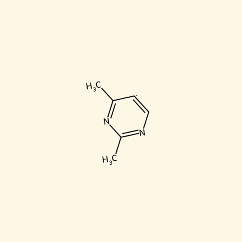 Cc1[c]cnc(C)n1